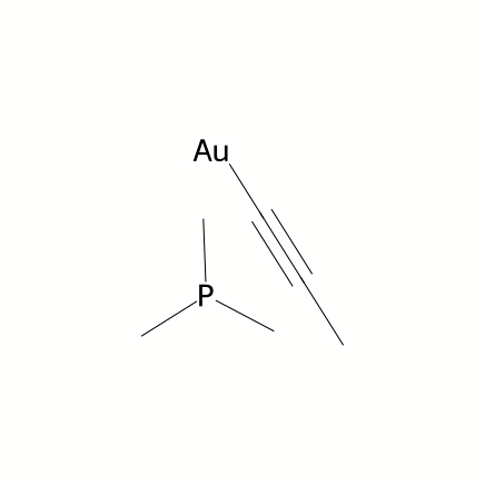 CC#[C][Au].CP(C)C